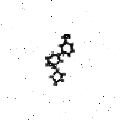 N#Cc1cccc(-c2ccnc(C3CCCC3)c2)c1